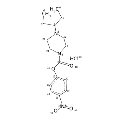 CCC(CC)N1CCN(C(=O)Oc2ccc([N+](=O)[O-])cc2)CC1.Cl